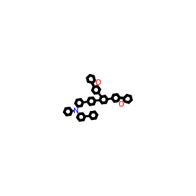 c1ccc(-c2cccc(N(c3ccccc3)c3cccc(-c4ccc(-c5ccc(-c6ccc7c(c6)oc6ccccc67)cc5-c5ccc6c(c5)oc5ccccc56)cc4)c3)c2)cc1